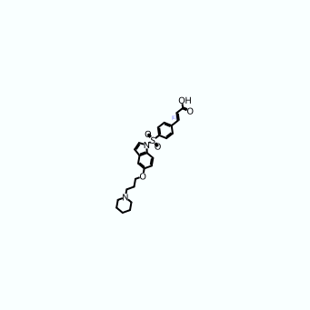 O=C(O)/C=C/c1ccc(S(=O)(=O)n2ccc3cc(OCCCN4CCCCC4)ccc32)cc1